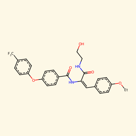 CCOc1ccc(/C=C(/NC(=O)c2ccc(Oc3ccc(C(F)(F)F)cc3)cc2)C(=O)NCCO)cc1